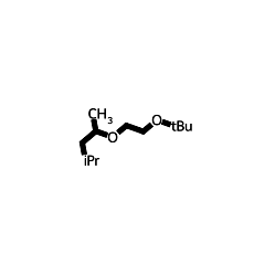 CC(C)CC(C)OCCOC(C)(C)C